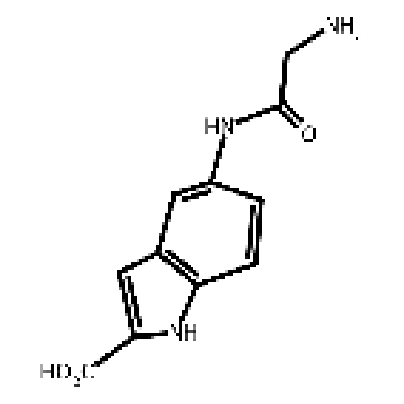 NCC(=O)Nc1ccc2[nH]c(C(=O)O)cc2c1